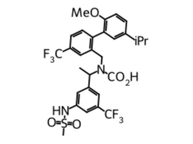 COc1ccc(C(C)C)cc1-c1ccc(C(F)(F)F)cc1CN(C(=O)O)C(C)c1cc(NS(C)(=O)=O)cc(C(F)(F)F)c1